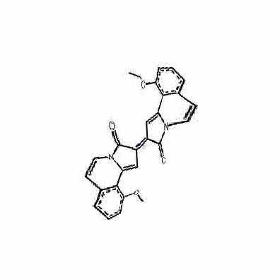 COc1cccc2c1C1=C/C(=C3/C=C4c5c(cccc5OC)C=CN4C3=O)C(=O)N1C=C2